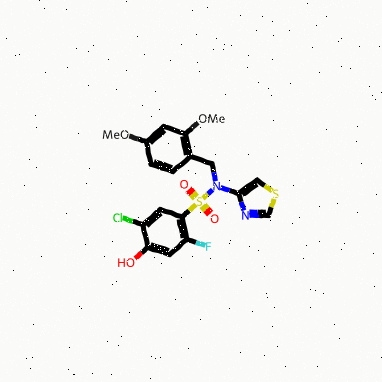 COc1ccc(CN(c2cscn2)S(=O)(=O)c2cc(Cl)c(O)cc2F)c(OC)c1